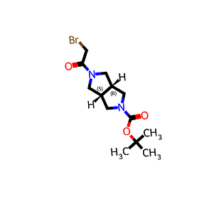 CC(C)(C)OC(=O)N1C[C@H]2CN(C(=O)CBr)C[C@H]2C1